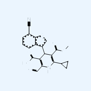 COC(=O)C1=C(C2CC2)NC(C=O)=C(C(=O)O)C1c1csc2c(C#N)cccc12